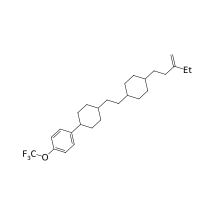 C=C(CC)CCC1CCC(CCC2CCC(c3ccc(OC(F)(F)F)cc3)CC2)CC1